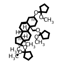 COC1(OC[C@]23CC[C@H](OC4(OC)CCCC4)CC2=CC[C@@H]2[C@@H]3CC[C@@]3(C)[C@H]2CC[C@]3(C)OC2(OC)CCCC2)CCCC1